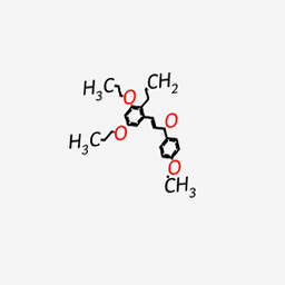 C=CCc1c(C=CC(=O)c2ccc(OCC)cc2)cc(OCCC)cc1OCCC